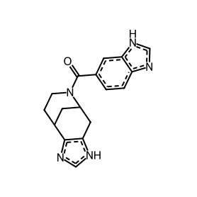 O=C(c1ccc2nc[nH]c2c1)N1CCC2CC1Cc1[nH]cnc12